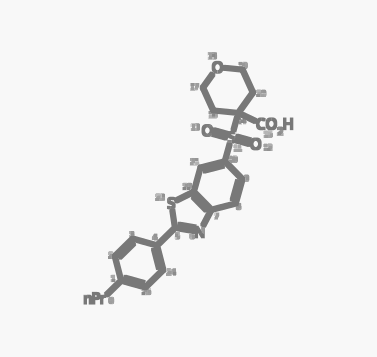 CCCc1ccc(-c2nc3ccc(S(=O)(=O)C4(C(=O)O)CCOCC4)cc3s2)cc1